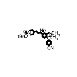 CN(C)Cc1c(Oc2ccc(C#N)cc2)ccc2c(CCC3CCN(C(=O)OC(C)(C)C)CC3)noc12